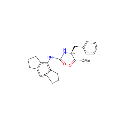 COC(=O)[C@H](Cc1ccccc1)NC(=O)Nc1c2c(cc3c1CCC3)CCC2